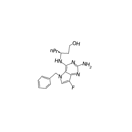 CCC[C@@H](CCO)Nc1nc(N)nc2c(F)cn(Cc3ccccc3)c12